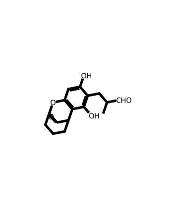 CC(C=O)Cc1c(O)cc2c(c1O)C1CCCC3(OCCCC13)O2